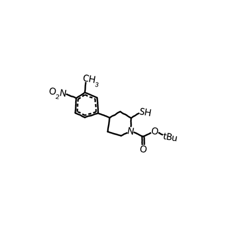 Cc1cc(C2CCN(C(=O)OC(C)(C)C)C(S)C2)ccc1[N+](=O)[O-]